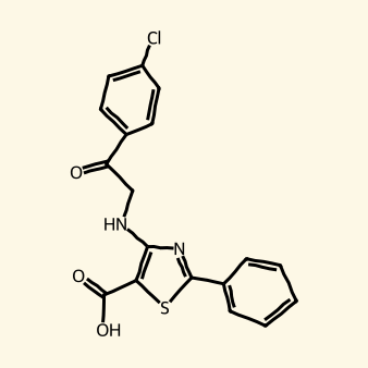 O=C(CNc1nc(-c2ccccc2)sc1C(=O)O)c1ccc(Cl)cc1